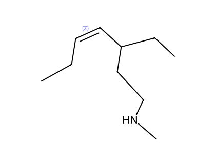 CC/C=C\C(CC)CCNC